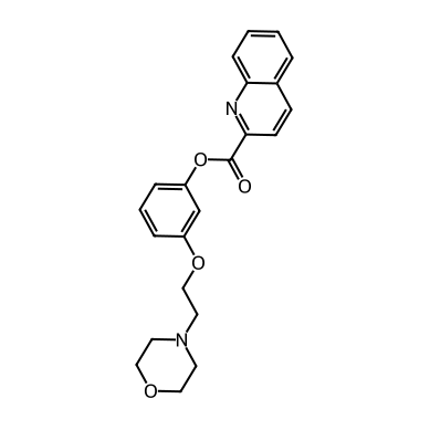 O=C(Oc1cccc(OCCN2CCOCC2)c1)c1ccc2ccccc2n1